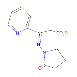 CCOC(=O)C/C(=N\N1CCCC1=O)c1ccccn1